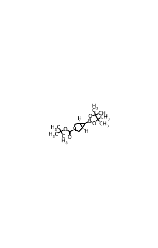 CC(C)(C)OC(=O)N1C[C@@H]2C(B3OC(C)(C)C(C)(C)O3)[C@@H]2C1